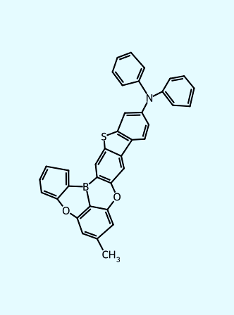 Cc1cc2c3c(c1)Oc1cc4c(cc1B3c1ccccc1O2)sc1cc(N(c2ccccc2)c2ccccc2)ccc14